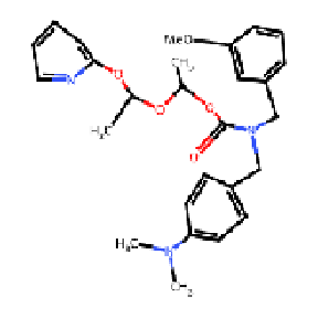 COc1cccc(CN(Cc2ccc(N(C)C)cc2)C(=O)OC(C)OC(C)Oc2ccccn2)c1